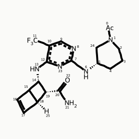 CC(=O)N1CCC[C@H](Nc2ncc(C(F)(F)F)c(N[C@H]3C4C=C[C@@H]4[C@H]3C(N)=O)n2)C1